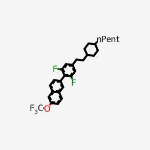 CCCCCC1CCC(CCc2cc(F)c(-c3ccc4cc(OC(F)(F)F)ccc4c3)c(F)c2)CC1